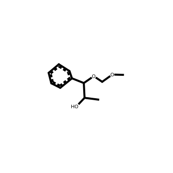 COCOC(c1ccccc1)C(C)O